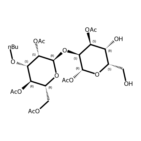 CCCCO[C@@H]1[C@H](OC(C)=O)[C@@H](O[C@@H]2[C@@H](OC(C)=O)O[C@@H](CO)[C@@H](O)[C@@H]2OC(C)=O)O[C@H](COC(C)=O)[C@H]1OC(C)=O